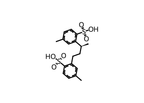 Cc1ccc(S(=O)(=O)O)c(CC[C@H](C)c2cc(C)ccc2S(=O)(=O)O)c1